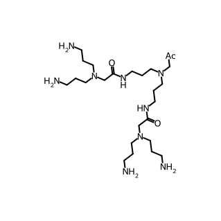 CC(=O)CN(CCCNC(=O)CN(CCCN)CCCN)CCCNC(=O)CN(CCCN)CCCN